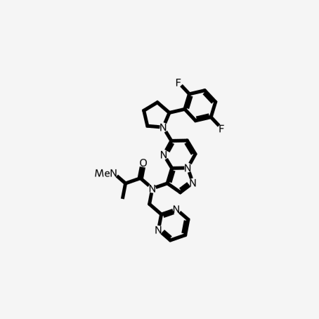 CNC(C)C(=O)N(Cc1ncccn1)c1cnn2ccc(N3CCCC3c3cc(F)ccc3F)nc12